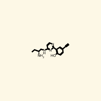 C#Cc1ccc(O)c(-c2nccc(NC[C@@H](N)CC)n2)c1